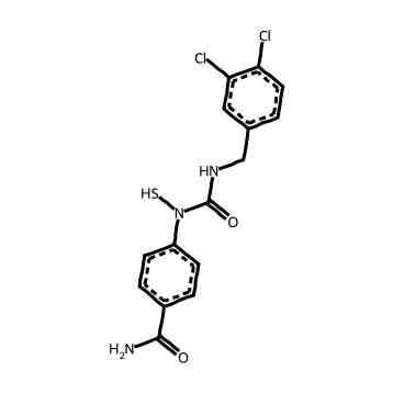 NC(=O)c1ccc(N(S)C(=O)NCc2ccc(Cl)c(Cl)c2)cc1